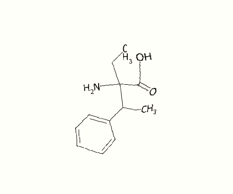 CCC(N)(C(=O)O)C(C)c1ccccc1